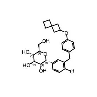 OC[C@H]1O[C@H](c2ccc(Cl)c(Cc3ccc(OC4CC5(CCC5)C4)cc3)c2)[C@H](O)[C@@H](O)[C@@H]1O